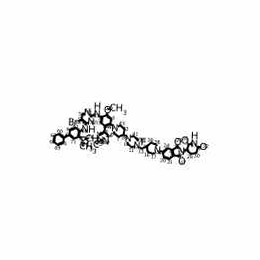 COc1cc(N2CCC(N3CCN(CC4(F)CCN(c5ccc6c(c5)C(=O)N(C5CCC(=O)NC5=O)C6=O)CC4)CC3)CC2)c(-c2cnn(C)c2)cc1Nc1ncc(Br)c(Nc2ccc(-c3ccccc3)cc2P(C)C)n1